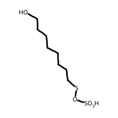 O=S(=O)(O)OSCCCCCCCCO